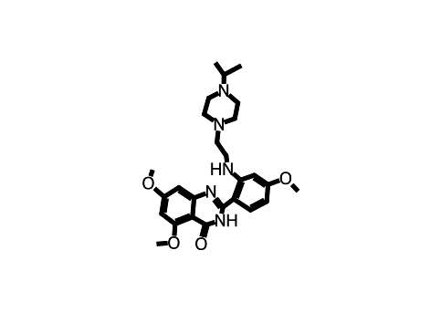 COc1ccc(-c2nc3cc(OC)cc(OC)c3c(=O)[nH]2)c(NCCN2CCN(C(C)C)CC2)c1